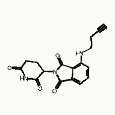 C#CCCNc1cccc2c1C(=O)N(C1CCC(=O)NC1=O)C2=O